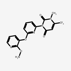 Cn1c(C(F)(F)F)cc(=O)n(-c2cccc(Oc3cccnc3ON)n2)c1=O